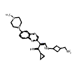 CN1CCN(c2ccc3nc(/C(=C/NC4CC(CN)C4)C(=N)C4CC4)cnc3c2)CC1